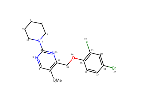 COc1cnc(N2CCCCC2)nc1COc1ccc(Br)cc1F